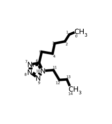 CCCCCCc1nnnn1CCCC